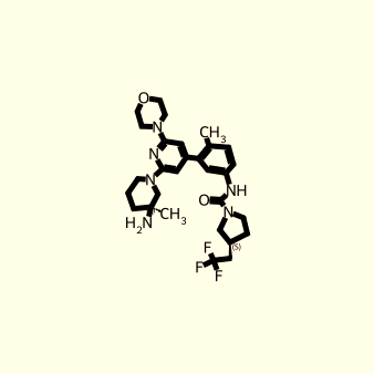 Cc1ccc(NC(=O)N2CC[C@@H](CC(F)(F)F)C2)cc1-c1cc(N2CCOCC2)nc(N2CCC[C@](C)(N)C2)c1